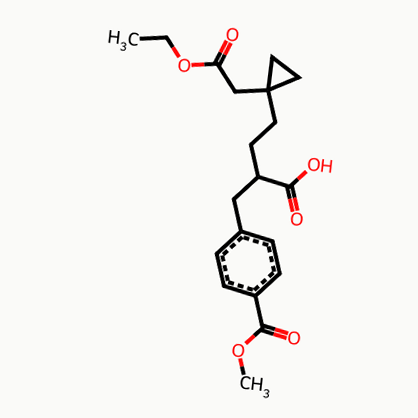 CCOC(=O)CC1(CCC(Cc2ccc(C(=O)OC)cc2)C(=O)O)CC1